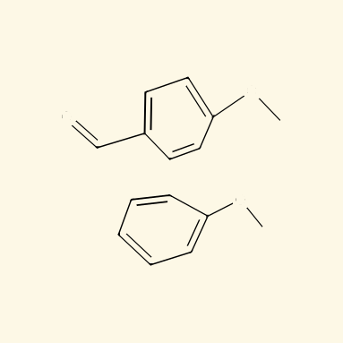 COc1ccc(C=O)cc1.COc1ccccc1